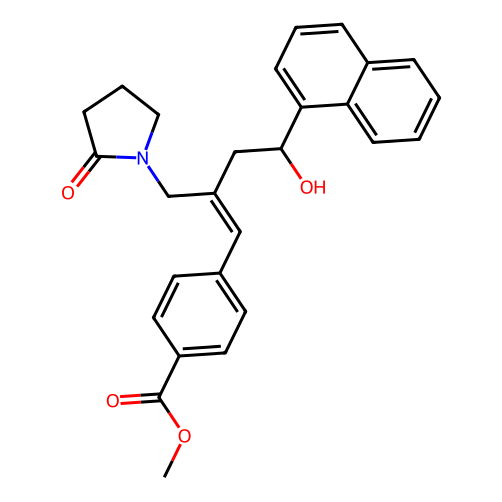 COC(=O)c1ccc(C=C(CC(O)c2cccc3ccccc23)CN2CCCC2=O)cc1